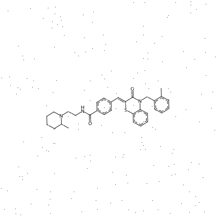 Cc1ccccc1CN1C(=O)/C(=C/c2ccc(C(=O)NCCN3CCCCC3C)cc2)Sc2ccccc21